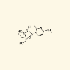 C=C1N=C(N)C=CN1[C@@H]1O[C@@](CO)(CF)[C@@H](O)[C@@H]1Cl